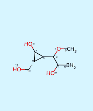 BC(O)C(OC)C1C(O)[C@H]1CO